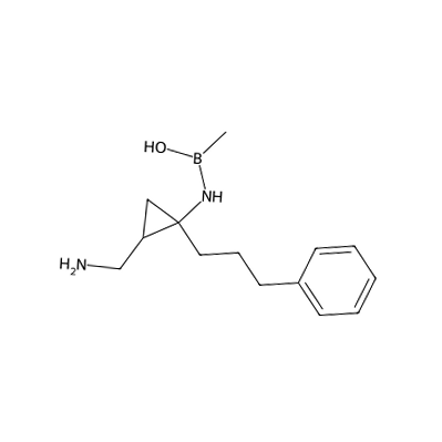 CB(O)NC1(CCCc2ccccc2)CC1CN